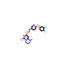 CN1CCCn2c1cc(OCCc1ccc(Oc3ccc(F)c(F)c3)nc1)nc2=O